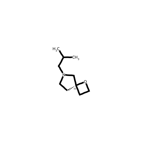 CC(C)CN1CC[C@]2(CCO2)C1